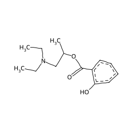 CCN(CC)CC(C)OC(=O)c1ccccc1O